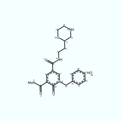 CNC(=O)c1cc(C(=O)NCCC2CNCCO2)cn(Cc2ccccc2)c1=O.Cl